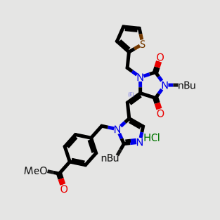 CCCCc1ncc(/C=C2\C(=O)N(CCCC)C(=O)N2Cc2cccs2)n1Cc1ccc(C(=O)OC)cc1.Cl